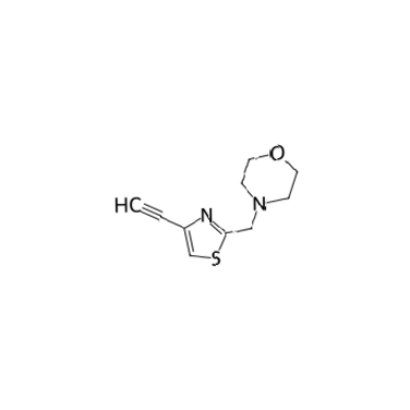 C#Cc1csc(CN2CCOCC2)n1